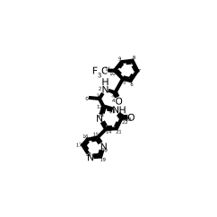 CC(NC(=O)c1ccccc1C(F)(F)F)c1nc(-c2ccncn2)cc(=O)[nH]1